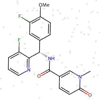 COc1ccc([C@H](NC(=O)c2ccc(=O)n(C)c2)c2ncccc2F)cc1F